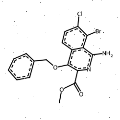 COC(=O)c1nc(N)c2c(Br)c(Cl)ccc2c1OCc1ccccc1